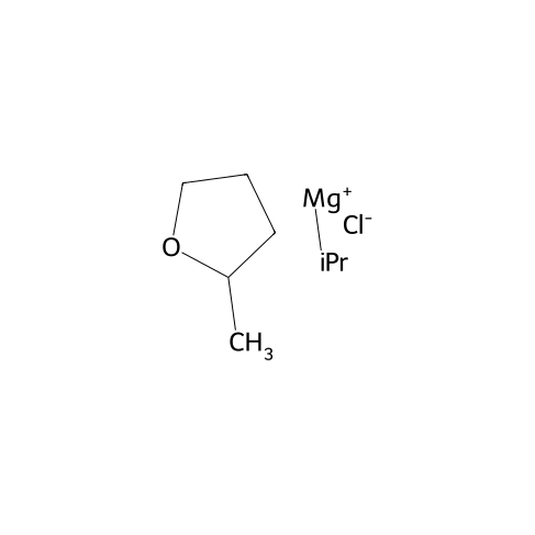 CC1CCCO1.C[CH](C)[Mg+].[Cl-]